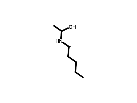 CCCC[CH]NC(C)O